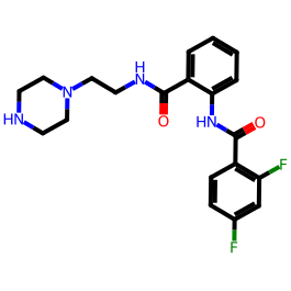 O=C(Nc1ccccc1C(=O)NCCN1CCNCC1)c1ccc(F)cc1F